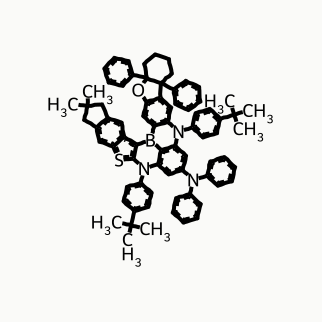 CC1(C)Cc2cc3sc4c(c3cc2C1)B1c2cc3c(cc2N(c2ccc(C(C)(C)C)cc2)c2cc(N(c5ccccc5)c5ccccc5)cc(c21)N4c1ccc(C(C)(C)C)cc1)C1(c2ccccc2)CCCCC1(c1ccccc1)O3